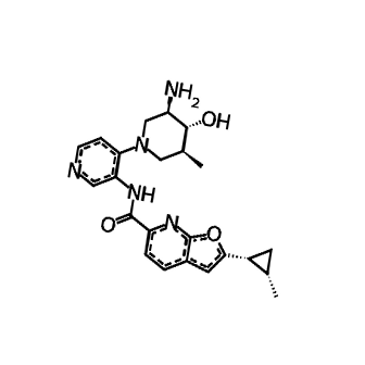 C[C@H]1CN(c2ccncc2NC(=O)c2ccc3cc([C@@H]4C[C@@H]4C)oc3n2)C[C@@H](N)[C@@H]1O